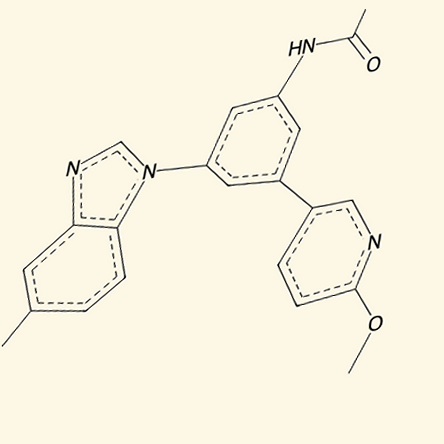 COc1ccc(-c2cc(NC(C)=O)cc(-n3cnc4cc(Br)ccc43)c2)cn1